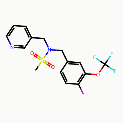 CS(=O)(=O)N(Cc1cccnc1)Cc1ccc(I)c(OC(F)(F)F)c1